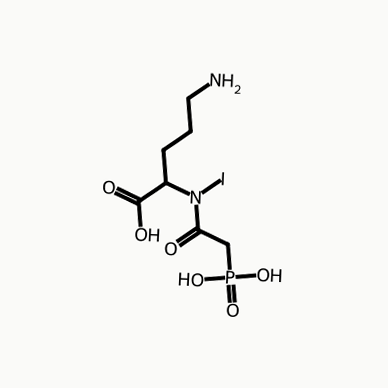 NCCCC(C(=O)O)N(I)C(=O)CP(=O)(O)O